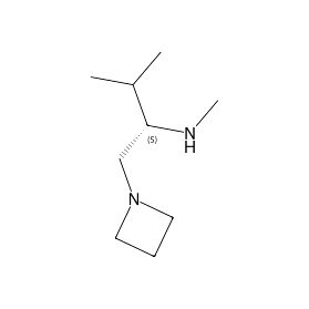 CN[C@H](CN1CCC1)C(C)C